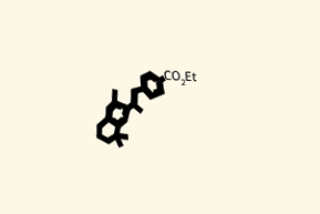 CCOC(=O)c1ccc(C=C(C)c2cc3c(cc2C)CCCC3(C)C)cc1